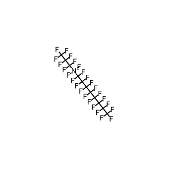 FC(F)(F)C(F)(F)C(F)(F)C(F)(F)C(F)(F)C(F)(F)C(F)(F)C(F)(F)[N+](F)(F)C(F)(F)C(F)(F)C(F)(F)F